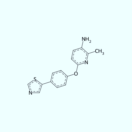 Cc1nc(Oc2ccc(-c3cncs3)cc2)ccc1N